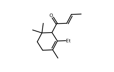 C/C=C/C(=O)C1C(CC)=C(C)CCC1(C)C